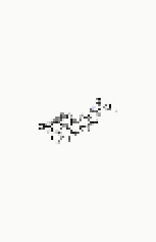 CCc1nc2cc(F)c(/C=C/C(C)=O)cc2c(=O)n1-c1ccc(Cl)cc1Br